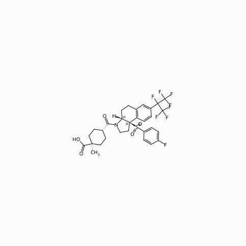 C[C@]1(C(=O)O)CC[C@H](C(=O)N2CC[C@@]3(S(=O)(=O)c4ccc(F)cc4)c4ccc(C(F)(C(F)(F)F)C(F)(F)F)cc4CC[C@@H]23)CC1